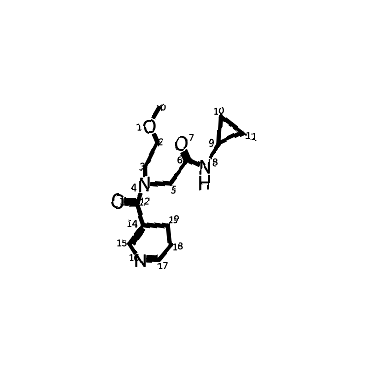 COCCN(CC(=O)NC1CC1)C(=O)C1=CN=CCC1